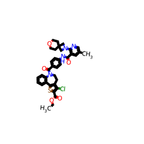 CCOC(=O)c1sc2c(c1Cl)CCN(C(=O)c1ccc(NC(=O)c3cc(C)cnc3N3CC4(CCOCC4)C3)cc1)c1ccccc1-2